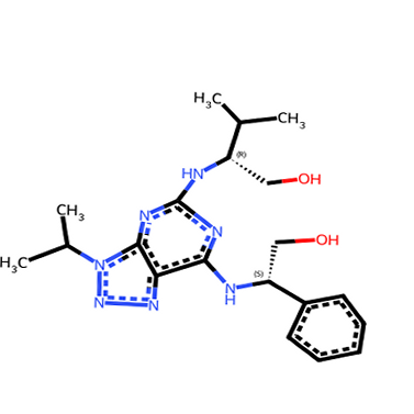 CC(C)[C@H](CO)Nc1nc(N[C@H](CO)c2ccccc2)c2nnn(C(C)C)c2n1